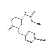 COc1ccc(CN2CC(NC(=O)OC(C)(C)C)CCC2=O)cc1